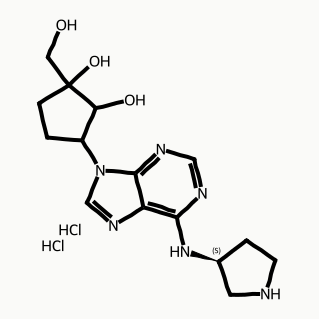 Cl.Cl.OCC1(O)CCC(n2cnc3c(N[C@H]4CCNC4)ncnc32)C1O